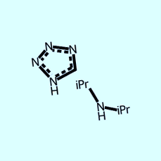 CC(C)NC(C)C.c1nnn[nH]1